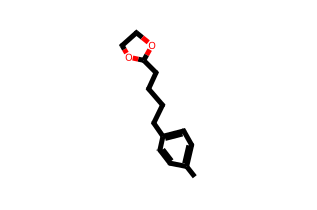 Cc1c[c]c(CCCCC2OCCO2)cc1